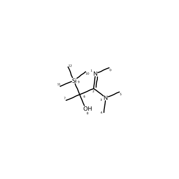 CN=C(N(C)C)C(C)(O)[Si](C)(C)C